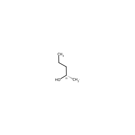 [CH2][C@H](O)CCC